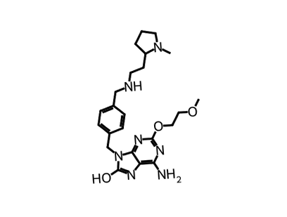 COCCOc1nc(N)c2nc(O)n(Cc3ccc(CNCCC4CCCN4C)cc3)c2n1